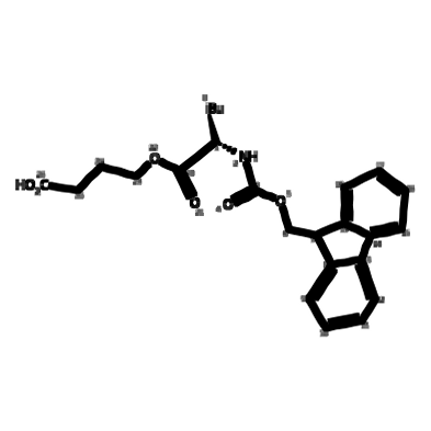 CC[C@H](C)[C@H](NC(=O)OCC1c2ccccc2-c2ccccc21)C(=O)OCCCC(=O)O